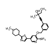 CCC(C)(O)C#Cc1cccc(COc2cc(-c3cnc(C4CCN(C)CC4)s3)cnc2N)c1